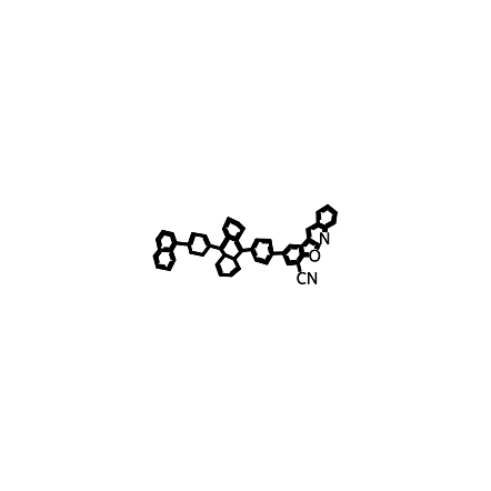 N#Cc1cc(-c2ccc(C3=c4ccccc4=C(C4=CC=C(c5cccc6ccccc56)CC4)C4C=CC=CC34)cc2)cc2c1oc1nc3ccccc3cc12